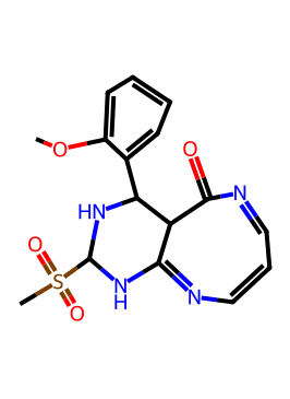 COc1ccccc1C1NC(S(C)(=O)=O)NC2=NC=CC=NC(=O)C21